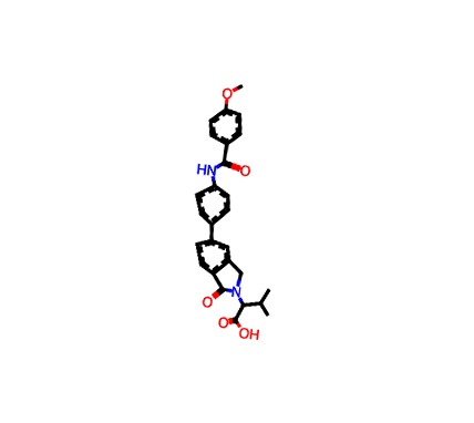 COc1ccc(C(=O)Nc2ccc(-c3ccc4c(c3)CN(C(C(=O)O)C(C)C)C4=O)cc2)cc1